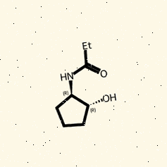 CCC(=O)N[C@@H]1CCC[C@H]1O